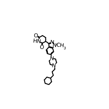 Cn1nc(C2CCC(=O)NC2=O)c2ccc(N3CCN(CCCC4CCCCC4)CC3)cc21